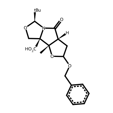 CC(C)(C)[C@@H]1OC[C@]2(C(=O)O)N1C(=O)[C@@H]1CC(OCc3ccccc3)O[C@@]12C